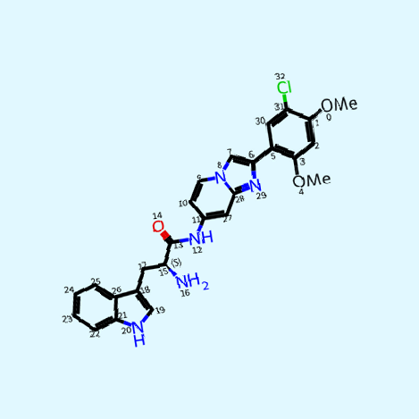 COc1cc(OC)c(-c2cn3ccc(NC(=O)[C@@H](N)Cc4c[nH]c5ccccc45)cc3n2)cc1Cl